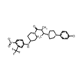 CC(C(=O)N1CCC(Nc2ccc([N+](=O)[O-])c(C(F)(F)F)c2)CC1)C(C)N1CCN(c2ccc(Cl)cc2)CC1